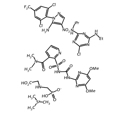 CCNc1nc(Cl)nc(NC(C)C)n1.COc1cc(OC)nc(NC(=O)NS(=O)(=O)c2ncccc2C(=O)N(C)C)n1.C[S+](C)C.Nc1c([N+](=O)[O-])cnn1-c1c(Cl)cc(C(F)(F)F)cc1Cl.O=C(O)CNCP(=O)([O-])O